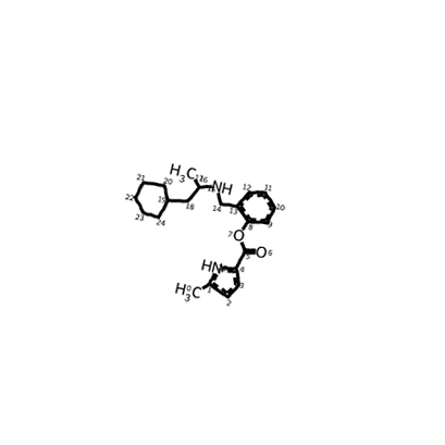 Cc1ccc(C(=O)Oc2ccccc2CNC(C)CC2CCCCC2)[nH]1